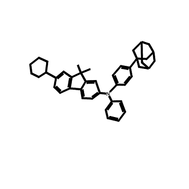 CC1(C)c2cc(C3CCCCC3)ccc2-c2ccc(N(c3ccccc3)c3ccc(C45CC6CC(CC(C6)C4)C5)cc3)cc21